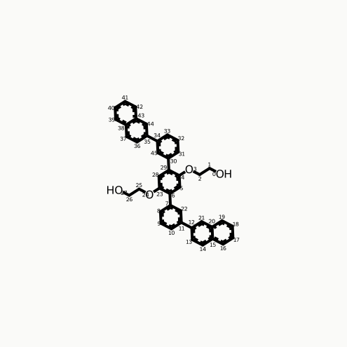 OCCOc1cc(-c2cccc(-c3ccc4ccccc4c3)c2)c(OCCO)cc1-c1cccc(-c2ccc3ccccc3c2)c1